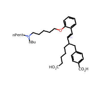 CCCCCN(CCCC)CCCCCOc1ccccc1/C=C/C(CCCCC(=O)O)Cc1ccc(C(=O)O)cc1